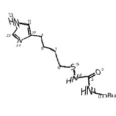 CCCCNC(=O)NSCCCCc1c[nH]cn1